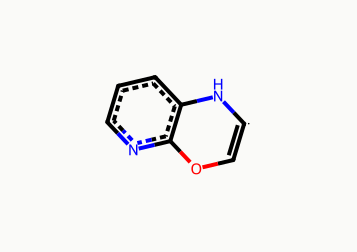 [C]1=COc2ncccc2N1